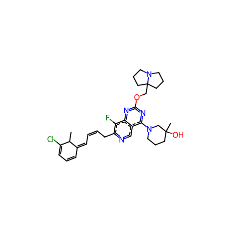 CC1C(Cl)=CC=C/C1=C/C=C\Cc1ncc2c(N3CCCC(C)(O)C3)nc(OCC34CCCN3CCC4)nc2c1F